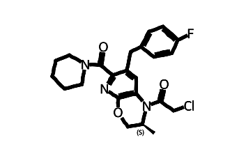 C[C@H]1COc2nc(C(=O)N3CCCCC3)c(Cc3ccc(F)cc3)cc2N1C(=O)CCl